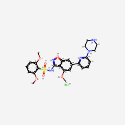 COc1cccc(OC)c1S(=O)(=O)Nc1noc2cc(-c3cccc(N4CCNCC4)n3)cc(OC)c12.Cl